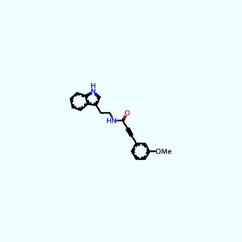 COc1cccc(C#CC(=O)NCCc2c[nH]c3ccccc23)c1